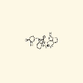 Cc1cccc2[nH]cc(C(C)n3c(=O)n(Cc4ccc(=O)[nH]c4)c4ccccc43)c12